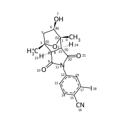 C[C@@]12O[C@@](C)(C[C@H]1O)[C@@H]1C(=O)N(c3ccc(C#N)c(I)c3)C(=O)[C@@H]12